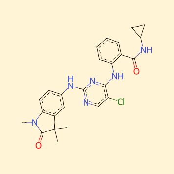 CN1C(=O)C(C)(C)c2cc(Nc3ncc(Cl)c(Nc4ccccc4C(=O)NC4CC4)n3)ccc21